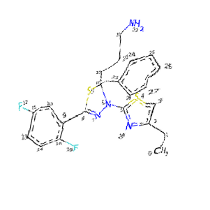 CCc1csc(N2N=C(c3cc(F)ccc3F)SC2(CCCN)c2ccccc2)n1